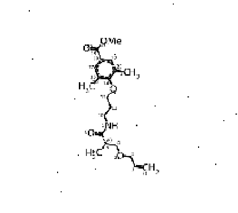 C=CCOC[C@@H](C)C(=O)NCCCOc1c(C)cc(C(=O)OC)cc1C